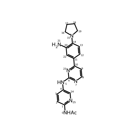 CC(=O)Nc1ccc(Nc2nccc(-c3ccc(N4CCCC4)c(N)c3)n2)cn1